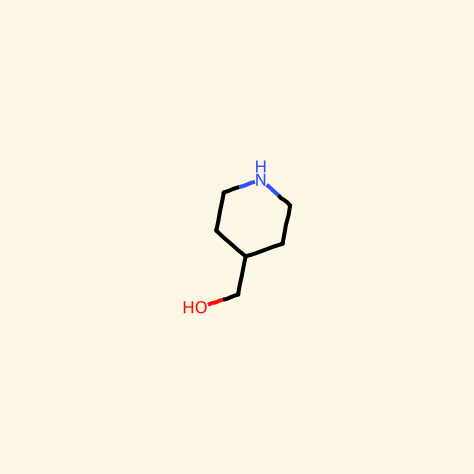 OC[C]1CCNCC1